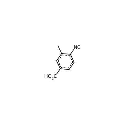 [C-]#[N+]c1ccc(C(=O)O)cc1C